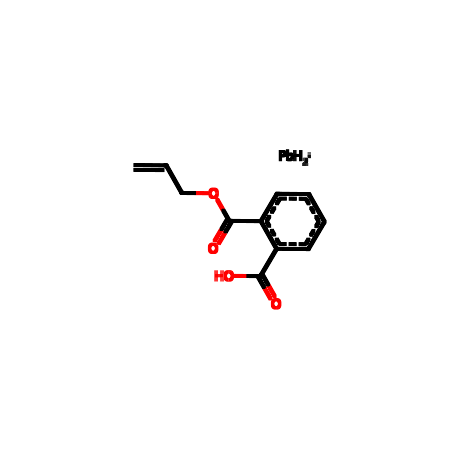 C=CCOC(=O)c1ccccc1C(=O)O.[PbH2]